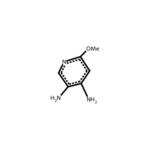 COc1cc(N)c(N)cn1